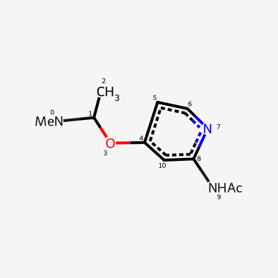 CNC(C)Oc1ccnc(NC(C)=O)c1